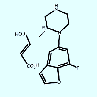 C[C@@H]1CNCCN1c1cc(F)c2occc2c1.O=C(O)C=CC(=O)O